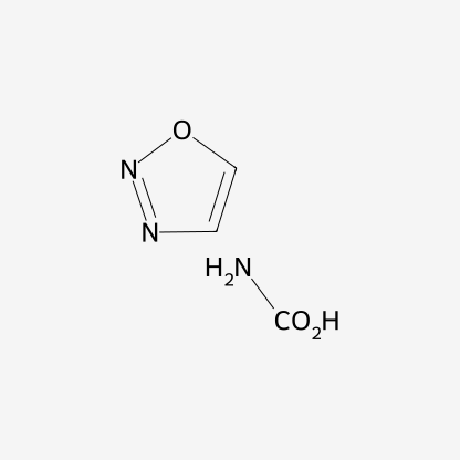 NC(=O)O.c1conn1